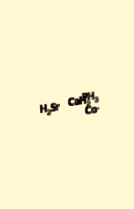 P.[CaH2].[Co].[SrH2]